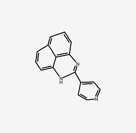 c1cc2c3c(cccc3c1)NC(c1ccncc1)=N2